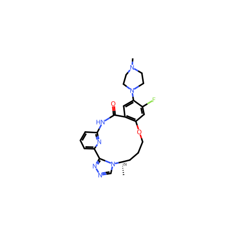 C[C@H]1CCCOc2cc(F)c(N3CCN(C)CC3)cc2C(=O)Nc2cccc(n2)-c2nncn21